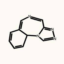 C1=CC2=CN=Cc3nncn3C2C=C1